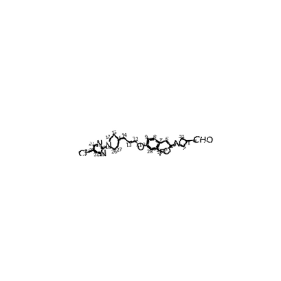 O=CC1CN(C(=O)Cc2ccc(OCCCC3CCN(c4ncc(Cl)cn4)CC3)cc2F)C1